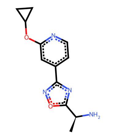 C[C@H](N)c1nc(-c2ccnc(OC3CC3)c2)no1